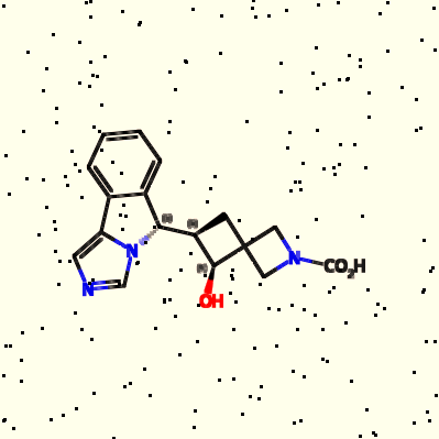 O=C(O)N1CC2(C[C@H]([C@H]3c4ccccc4-c4cncn43)[C@@H]2O)C1